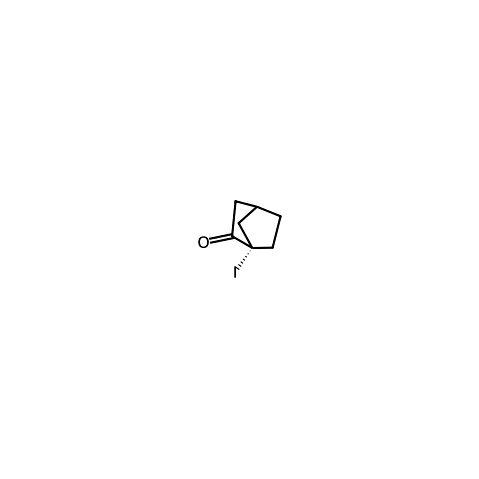 O=C1CC2CC[C@]1(I)C2